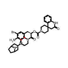 CN1C2CCC1CC(N1CCN(C(=O)[C@@H](Cc3cc(Br)c(N)c(C(F)(F)F)c3)OC(=O)N3CCC4(CC3)CC(=O)Nc3ccccc34)CC1)C2